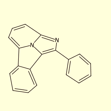 c1ccc(-c2nc3cccc4c5ccccc5c2n34)cc1